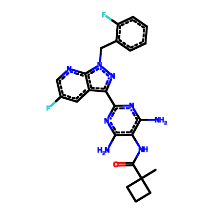 CC1(C(=O)Nc2c(N)nc(-c3nn(Cc4ccccc4F)c4ncc(F)cc34)nc2N)CCC1